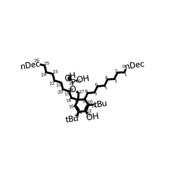 CCCCCCCCCCCCCCCCCCC1C(C(C)(C)C)=C(O)C(C(C)(C)C)=CC1(CCCCCCCCCCCCCCCCCC)CO[PH](=O)O